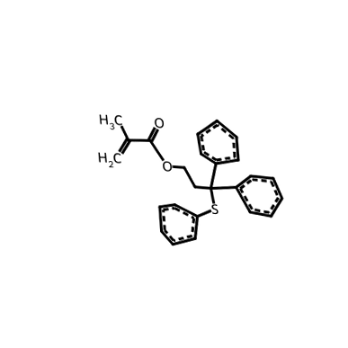 C=C(C)C(=O)OCCC(Sc1ccccc1)(c1ccccc1)c1ccccc1